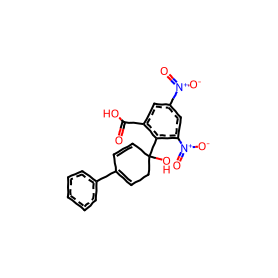 O=C(O)c1cc([N+](=O)[O-])cc([N+](=O)[O-])c1C1(O)C=CC(c2ccccc2)=CC1